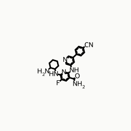 N#Cc1ccc(-c2cncc(Nc3nc(NC4CCCCC4N)c(F)cc3C(N)=O)c2)cc1